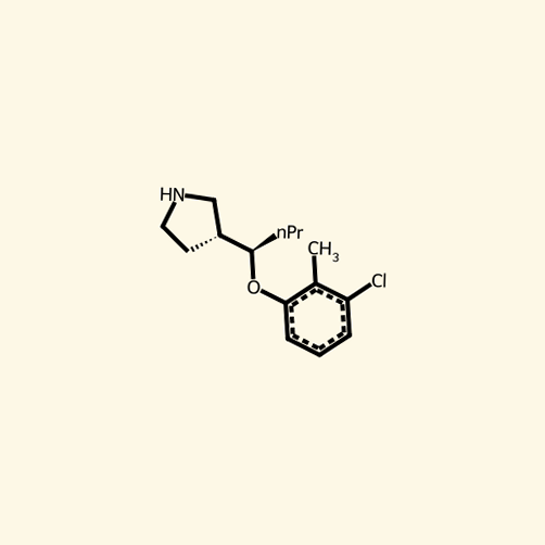 CCC[C@@H](Oc1cccc(Cl)c1C)[C@@H]1CCNC1